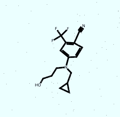 N#Cc1ccc(N(CCCO)CC2CC2)cc1C(F)(F)F